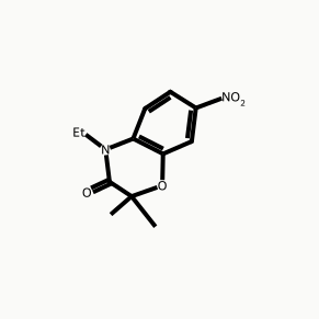 CCN1C(=O)C(C)(C)Oc2cc([N+](=O)[O-])ccc21